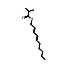 CCCCCC=CC=CCOC(=O)C(C)C